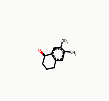 Cc1cc2c(cc1[N+](=O)[O-])C(=O)CCC2